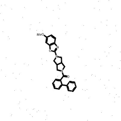 COc1ccc2nc(N3CC4CN(C(=O)c5ccccc5-c5ccccc5)CC4C3)oc2c1